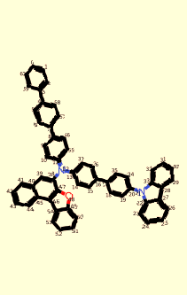 c1ccc(-c2ccc(-c3ccc(N(c4ccc(-c5ccc(-n6c7ccccc7c7ccccc76)cc5)cc4)c4cc5ccccc5c5c4oc4ccccc45)cc3)cc2)cc1